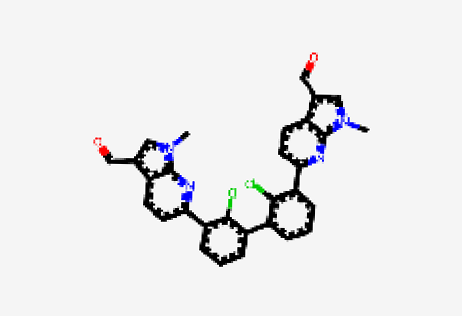 Cn1cc(C=O)c2ccc(-c3cccc(-c4cccc(-c5ccc6c(C=O)cn(C)c6n5)c4Cl)c3Cl)nc21